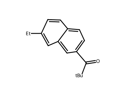 CCc1ccc2ccc(C(=O)C(C)(C)C)cc2c1